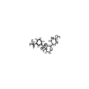 COC1=NCC(C2CC(C)(S(=O)(=O)c3cccc(C(F)(F)F)c3)CCO2)C=N1